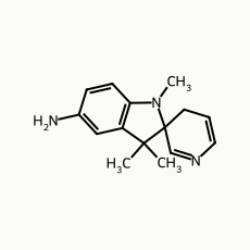 CN1c2ccc(N)cc2C(C)(C)C12C=NC=CC2